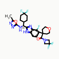 Cc1nnc(N[C@H](c2nc3c(F)c(C4(C(=O)N5CC(F)(F)C5)CCOCC4)ccc3[nH]2)C2CCC(F)(F)CC2)o1